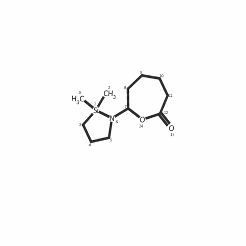 C[Si]1(C)CCCN1C1CCCCC(=O)O1